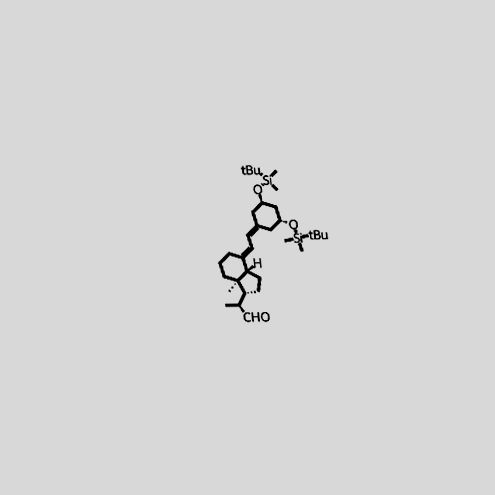 C[C@H](C=O)[C@H]1CC[C@H]2C(=CC=C3C[C@@H](O[Si](C)(C)C(C)(C)C)C[C@H](O[Si](C)(C)C(C)(C)C)C3)CCC[C@]12C